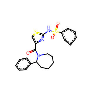 O=C(c1csc(NS(=O)(=O)c2ccccc2)n1)N1CCCCCC1c1ccccc1